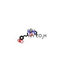 CCCCN(CC(CCC)CCc1ccc2c(c1)OCO2)C(=O)CN1CCC(C(=O)O)C1